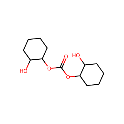 O=C(OC1CCCCC1O)OC1CCCCC1O